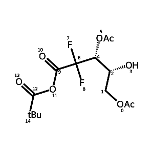 CC(=O)OC[C@@H](O)[C@@H](OC(C)=O)C(F)(F)C(=O)OC(=O)C(C)(C)C